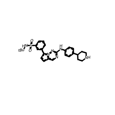 CC(C)(C)NS(=O)(=O)c1cccc(-c2ccc3cnc(Nc4ccc(C5CCNCC5)cc4)nn23)c1